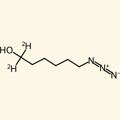 [2H]C([2H])(O)CCCCCN=[N+]=[N-]